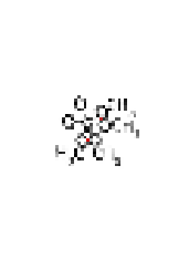 Cc1ccc(C2=C(c3ccccc3)C(c3ccccc3)=C(c3ccc(C)cc3)[Si]2(c2ccc(C)cc2)c2ccc(C)cc2)cc1